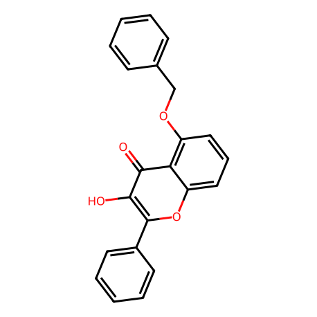 O=c1c(O)c(-c2ccccc2)oc2cccc(OCc3ccccc3)c12